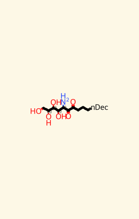 CCCCCCCCCCCCCC(=O)C(=O)[C@H](N)[C@@H](O)[C@H](O)[C@H](O)CO